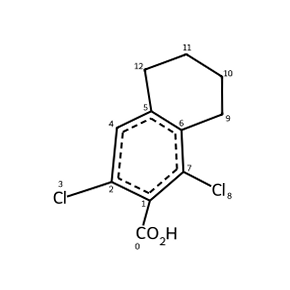 O=C(O)c1c(Cl)cc2c(c1Cl)CCCC2